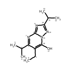 CCc1c(C(C)C)nc2nc(C(C)C)nn2c1O